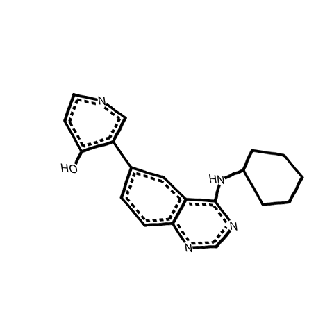 Oc1ccncc1-c1ccc2ncnc(NC3CCCCC3)c2c1